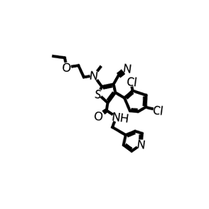 CCOCCN(C)c1sc(C(=O)NCc2ccncc2)c(-c2ccc(Cl)cc2Cl)c1C#N